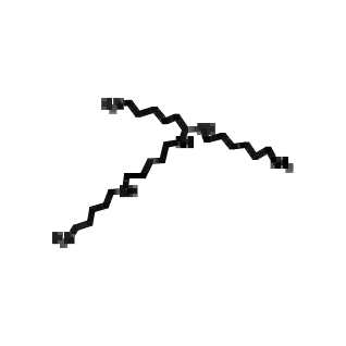 NCCCCCCNC(CCCCCN)NCCCCCNCCCCCN